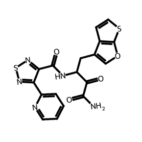 NC(=O)C(=O)C(Cc1coc2sccc12)NC(=O)c1nsnc1-c1ccccn1